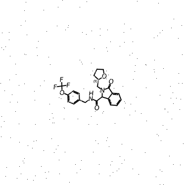 O=C(NCc1ccc(OC(F)(F)F)cc1)C1c2ccccc2C(=O)N1C[C@H]1CCCO1